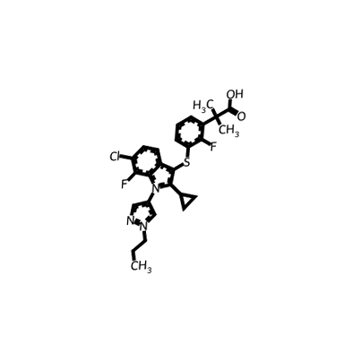 CCCn1cc(-n2c(C3CC3)c(Sc3cccc(C(C)(C)C(=O)O)c3F)c3ccc(Cl)c(F)c32)cn1